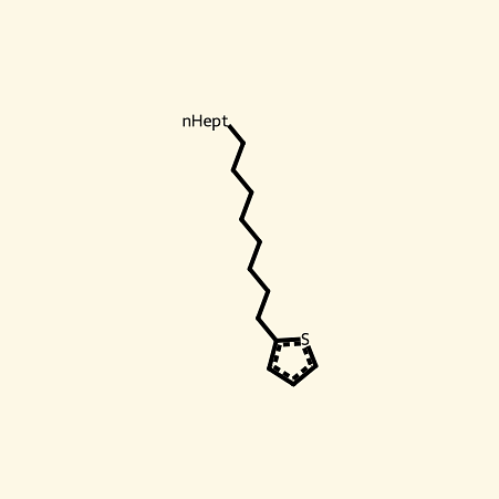 CCCCCCCCCCCCCCCc1cccs1